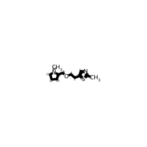 Cc1ncc(CCOCC2CCCN2C)s1